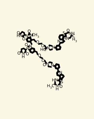 C[C@@H]1CNc2c(sc3ccc4nc(-c5cccc(N6CCN(C(=O)COCCOCCc7ccc8c(c7)n(Cc7ccc9c(c7CCOCCOCC(O)N7CCN(c%10cccc(-c%11ccc%12c(ccc%13sc%14c(c%13%12)NC[C@@H](C)NC%14=O)n%11)c%10)CC7)n(C)c(=O)n9C7CCC(=O)NC7=O)c(=O)n8C7CCC(=O)NC7=O)CC6)c5)ccc4c23)C(=O)N1